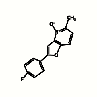 Cc1ccc2oc(-c3ccc(F)cc3)cc2[n+]1[O-]